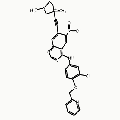 CN1CC[C@](C)(C#Cc2cc3ncnc(Nc4ccc(OCc5ccccn5)c(Cl)c4)c3cc2[N+](=O)[O-])C1